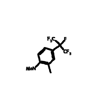 CNc1ccc(C(F)(C(F)(F)F)C(F)(F)F)cc1C